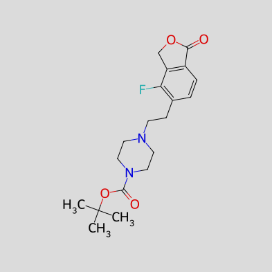 CC(C)(C)OC(=O)N1CCN(CCc2ccc3c(c2F)COC3=O)CC1